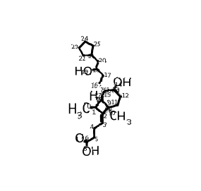 CC1C(=CCCC(=O)O)[C@]2(C)CC[C@H](O)[C@@H](CCC(O)CC3CCCC3)[C@H]12